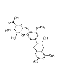 COc1cc(C2Oc3cc(O)cc(O)c3CC2O)ccc1O[C@@H]1O[C@H](C(=O)O)[C@@H](O)[C@H](O)[C@H]1O